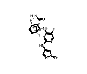 CCn1cc(Nc2ncc(F)c(N[C@H]3[C@@H](C(N)=O)[C@@H]4C=C[C@H]3C4)n2)cn1